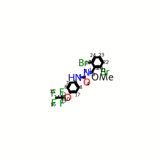 CO/C(=N\C(=O)Nc1ccc(OC(F)(F)C(F)F)cc1)c1c(Br)cccc1Br